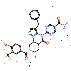 CNC(=O)c1cnc(N2C(=O)C3C[C@H](C)N(C(=O)c4ccc(Br)c(C(F)(F)F)c4)CC3n3ncc(Cc4ccccc4)c32)nc1